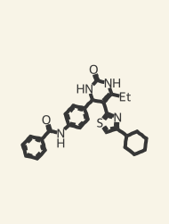 CCC1=C(c2nc(C3CCCCC3)cs2)C(c2ccc(NC(=O)c3ccccc3)cc2)NC(=O)N1